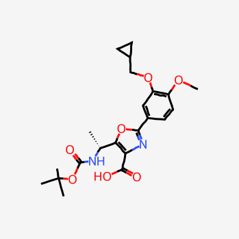 COc1ccc(-c2nc(C(=O)O)c([C@@H](C)NC(=O)OC(C)(C)C)o2)cc1OCC1CC1